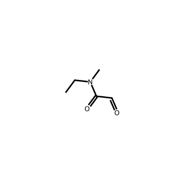 CCN(C)C(=O)C=O